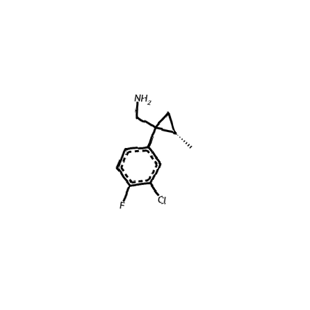 C[C@H]1CC1(CN)c1ccc(F)c(Cl)c1